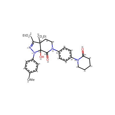 CCOC(=O)C1=NN(c2ccc(OC)cc2)C2(O)C(=O)N(c3ccc(N4CCCCC4=O)cc3)CCC12C(=O)OCC